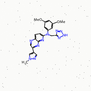 COc1cc(OC)cc(N(Cc2nn[nH]n2)c2ccc3ncc(-c4cnn(C)c4)nc3n2)c1